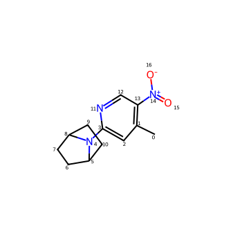 Cc1cc(N2C3CCC2CC3)ncc1[N+](=O)[O-]